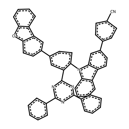 N#Cc1ccc(-c2ccc3c4ccccc4n(-c4ccc(-c5ccc6oc7ccccc7c6c5)cc4-c4nc(-c5ccccc5)nc(-c5ccccc5)n4)c3c2)cc1